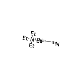 CC[N+](CC)(CC)CC.N#CC#N